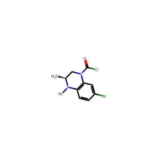 CC(=O)N1c2ccc(Br)cc2N(C(=O)Cl)C[C@@H]1C